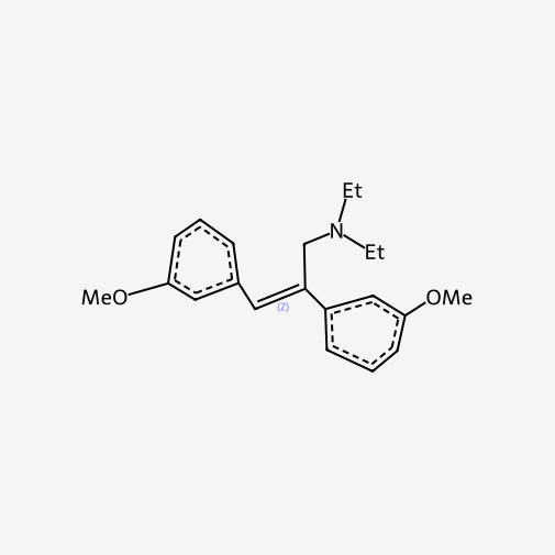 CCN(CC)C/C(=C\c1cccc(OC)c1)c1cccc(OC)c1